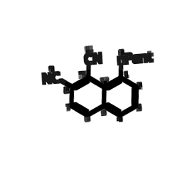 CCCCCc1cccc2ccc(C#N)c(C#N)c12